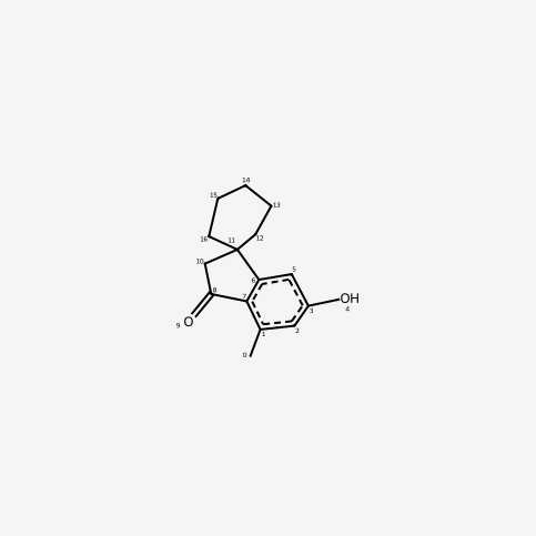 Cc1cc(O)cc2c1C(=O)CC21CCCCC1